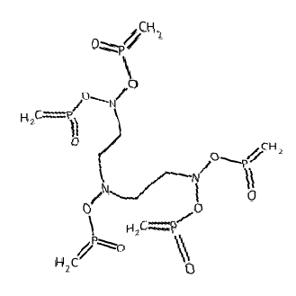 C=P(=O)ON(CCN(OP(=C)=O)OP(=C)=O)CCN(OP(=C)=O)OP(=C)=O